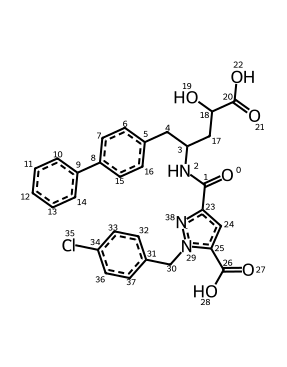 O=C(NC(Cc1ccc(-c2ccccc2)cc1)CC(O)C(=O)O)c1cc(C(=O)O)n(Cc2ccc(Cl)cc2)n1